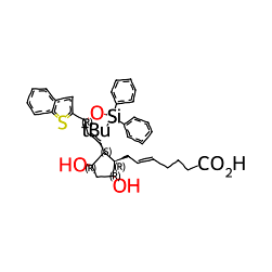 CC(C)(C)[Si](O[C@H](C=C[C@H]1[C@@H](CC=CCCCC(=O)O)[C@H](O)C[C@H]1O)c1cc2ccccc2s1)(c1ccccc1)c1ccccc1